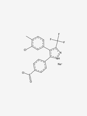 Cc1ccc(-c2c(C(F)(F)F)n[nH]c2-c2ccc(S(=O)[O-])cc2)cc1Cl.[Na+]